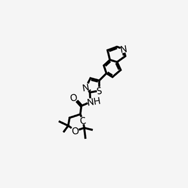 CC1(C)CC(C(=O)Nc2ncc(-c3ccc4cnccc4c3)s2)CC(C)(C)O1